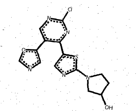 OC1CCN(c2ncc(-c3nc(Cl)ncc3-c3cnco3)s2)C1